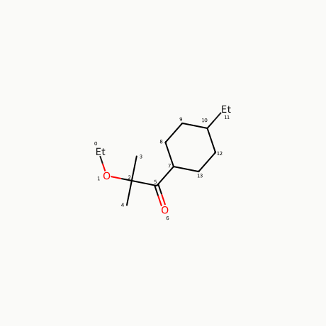 CCOC(C)(C)C(=O)C1CCC(CC)CC1